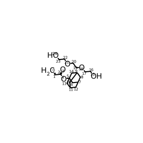 C=CC(=O)OC12CC3CC(CC(C3)C1)C2.OCCOCCOCCO